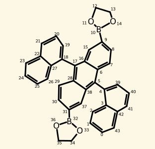 c1ccc2c(-c3c4ccc(B5OCCO5)cc4c(-c4cccc5ccccc45)c4ccc(B5OCCO5)cc34)cccc2c1